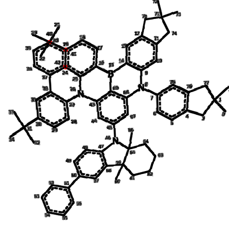 CC1(C)Cc2ccc(N3c4cc5c(cc4B4c6ccc(C(C)(C)C)cc6N(c6ccc(C(C)(C)C)cc6-c6ccccc6)c6cc(N7c8ccc(-c9ccccc9)cc8C8(C)CCCCC78C)cc3c64)CC(C)(C)C5)cc2C1